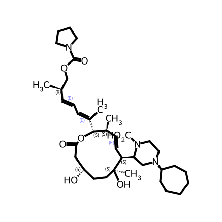 C/C(=C\C=C\[C@@H](C)COC(=O)N1CCCC1)[C@H]1OC(=O)C[C@@H](O)CC[C@](C)(O)[C@H](C2CN(C3CCCCCC3)CCN2C(=O)O)/C=C/[C@@H]1C